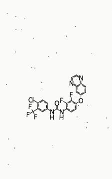 O=C(Nc1ccc(Cl)c(C(F)(F)F)c1)Nc1ccc(Oc2ccc3nccnc3c2)c(F)c1F